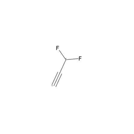 [C]#C[C](F)F